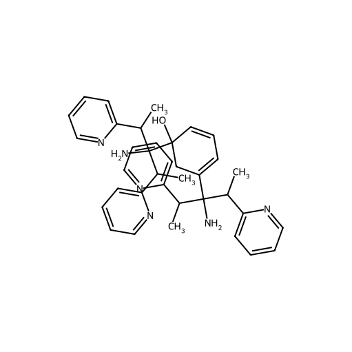 CC(c1ccccn1)C(N)(C1=CC=CC(O)(C(N)(C(C)c2ccccn2)C(C)c2ccccn2)C1)C(C)c1ccccn1